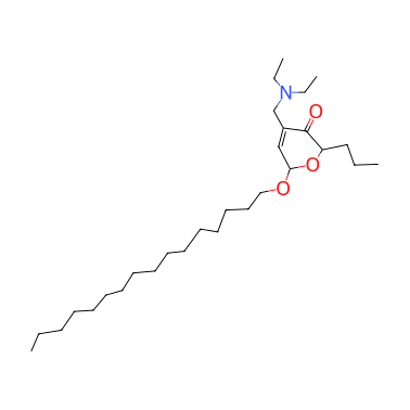 CCCCCCCCCCCCCCCCOC1C=C(CN(CC)CC)C(=O)C(CCC)O1